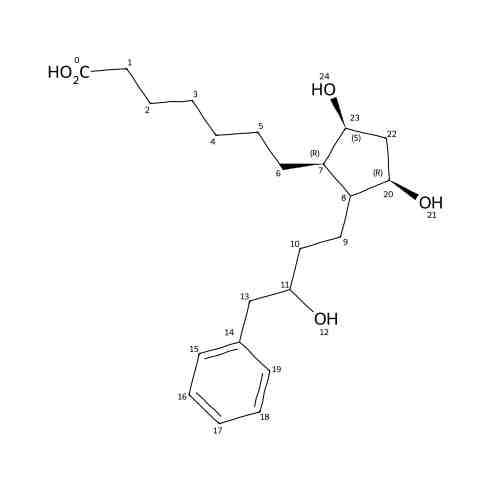 O=C(O)CCCCCC[C@@H]1C(CCC(O)Cc2ccccc2)[C@H](O)C[C@@H]1O